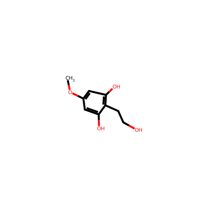 COc1cc(O)c(CCO)c(O)c1